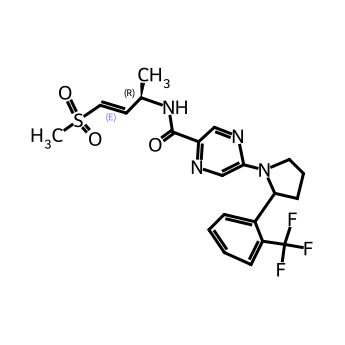 C[C@H](/C=C/S(C)(=O)=O)NC(=O)c1cnc(N2CCCC2c2ccccc2C(F)(F)F)cn1